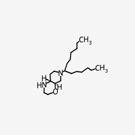 CCCCCCC(CCCCCC)N1CC[C@H]2NCCO[C@@H]2C1